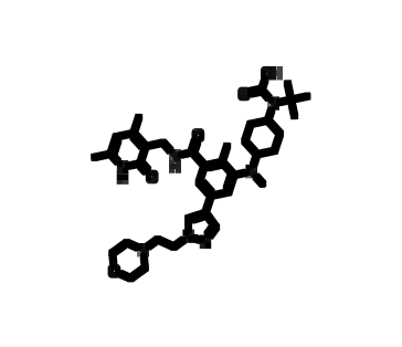 Cc1cc(C)c(CNC(=O)c2cc(-c3cnn(CCN4CCOCC4)c3)cc(N(C)C3CCC(N(C(=O)O)C(C)(C)C)CC3)c2C)c(=O)[nH]1